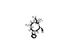 CC[C@H](C)[C@H]1NC(=O)[C@@H](C)NC(=O)[C@@H](CC2=CCCC=C2)NC(=O)C[C@@H](CC#N)OC1=O